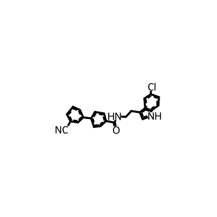 N#Cc1cccc(-c2ccc(C(=O)NCCc3c[nH]c4ccc(Cl)cc34)cc2)c1